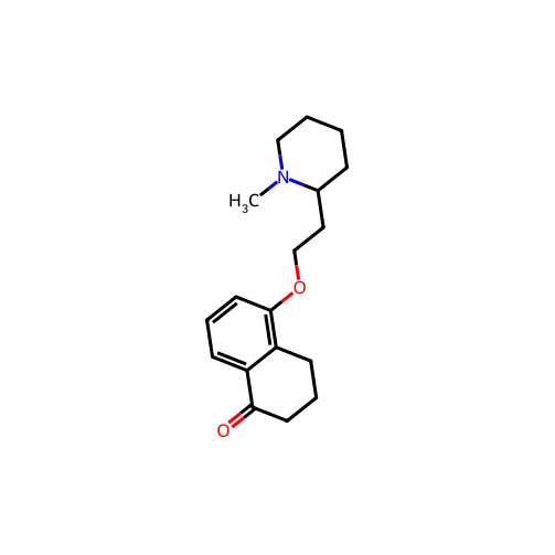 CN1CCCCC1CCOc1cccc2c1CCCC2=O